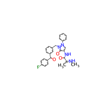 CN[C@@H](C)C(=O)Nc1cn(-c2ccccc2)n(Cc2cccc(C(=O)c3ccc(F)cc3)c2)c1=O